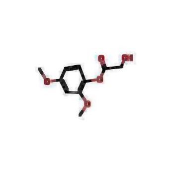 COc1ccc(OC(=O)CO)c(OC)c1